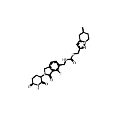 CC1CCn2nc(COC(=O)NCc3ccc4c(c3F)C(=O)N(C3CCC(=O)NC3=O)C4)cc2C1